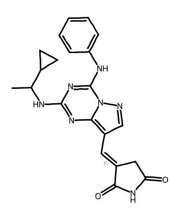 CC(Nc1nc(Nc2ccccc2)n2ncc(/C=C3\CC(=O)NC3=O)c2n1)C1CC1